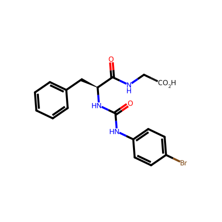 O=C(O)CNC(=O)[C@H](Cc1ccccc1)NC(=O)Nc1ccc(Br)cc1